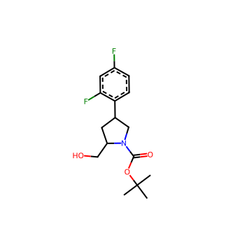 CC(C)(C)OC(=O)N1CC(c2ccc(F)cc2F)CC1CO